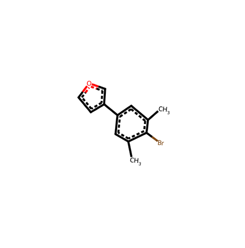 Cc1cc(-c2ccoc2)cc(C)c1Br